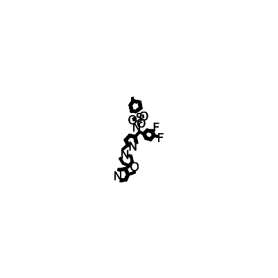 Cc1ccc(S(=O)(=O)O/N=C(/c2ccc(CN3CCC4(CC3)OCc3ccncc34)nc2)c2ccc(F)c(F)c2)cc1